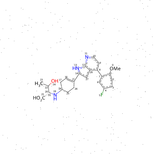 COc1ccc(F)cc1-c1ccnc2[nH]c(C3=CCC(N[C@H](C(=O)O)C(C)O)CC3)cc12